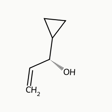 C=C[C@@H](O)C1CC1